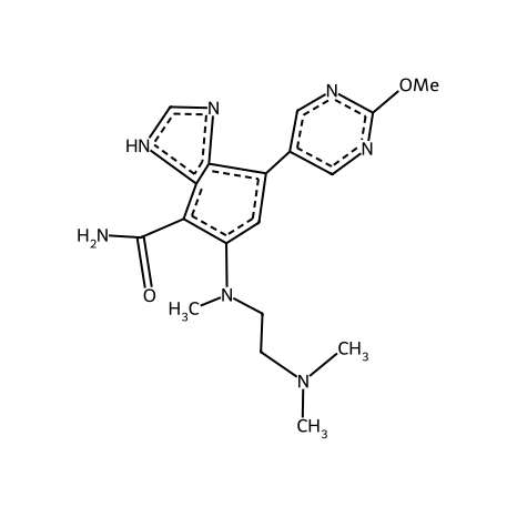 COc1ncc(-c2cc(N(C)CCN(C)C)c(C(N)=O)c3[nH]cnc23)cn1